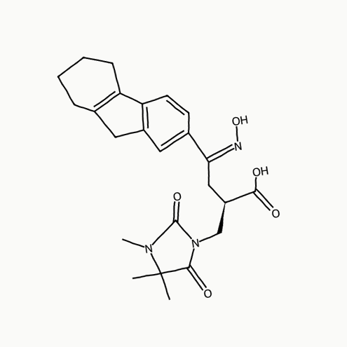 CN1C(=O)N(C[C@@H](CC(=NO)c2ccc3c(c2)CC2=C3CCCC2)C(=O)O)C(=O)C1(C)C